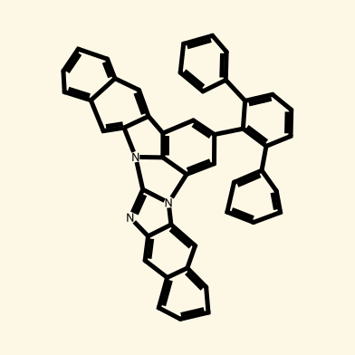 c1ccc(-c2cccc(-c3ccccc3)c2-c2cc3c4cc5ccccc5cc4n4c3c(c2)n2c3cc5ccccc5cc3nc24)cc1